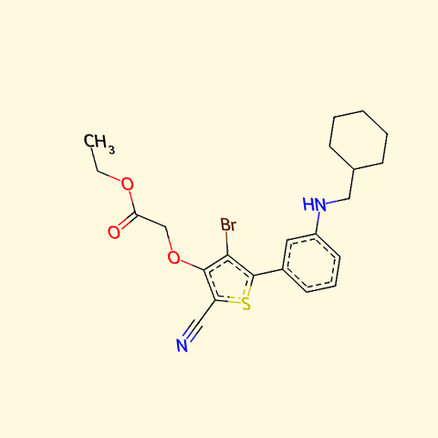 CCOC(=O)COc1c(C#N)sc(-c2cccc(NCC3CCCCC3)c2)c1Br